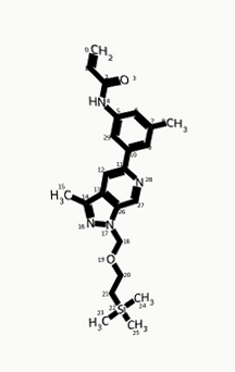 C=CC(=O)Nc1cc(C)cc(-c2cc3c(C)nn(COCC[Si](C)(C)C)c3cn2)c1